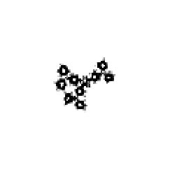 c1ccc(N(c2ccccc2)c2ccc(-c3nc(-c4ccc(N(c5ccccc5)c5ccccc5)cc4)n(-c4ccc(N(c5ccccc5)c5ccccc5)cc4)n3)cc2)cc1